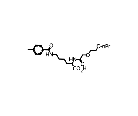 CCCOCCOCC(=O)NC(CCCCNC(=O)c1ccc(C)cc1)C(=O)O